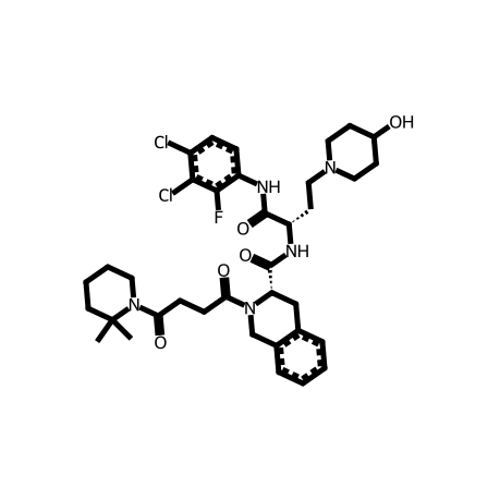 CC1(C)CCCCN1C(=O)CCC(=O)N1Cc2ccccc2C[C@H]1C(=O)N[C@@H](CCN1CCC(O)CC1)C(=O)Nc1ccc(Cl)c(Cl)c1F